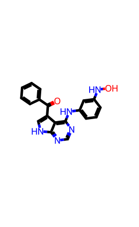 O=C(c1ccccc1)c1c[nH]c2ncnc(Nc3cccc(NO)c3)c12